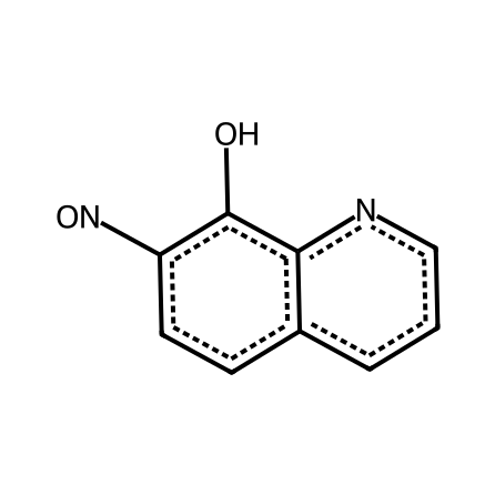 O=Nc1ccc2cccnc2c1O